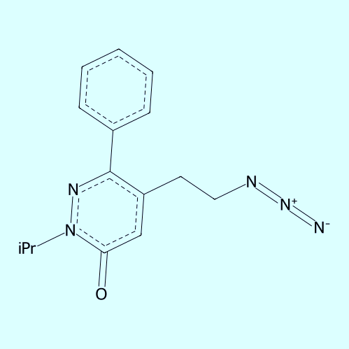 CC(C)n1nc(-c2ccccc2)c(CCN=[N+]=[N-])cc1=O